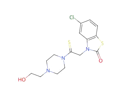 O=c1sc2ccc(Cl)cc2n1CC(=S)N1CCN(CCO)CC1